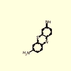 N=c1ccc2nc3ccc(N)cc3sc-2c1